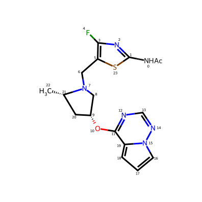 CC(=O)Nc1nc(F)c(CN2C[C@H](Oc3ncnn4cccc34)C[C@@H]2C)s1